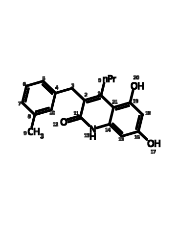 CCCc1c(Cc2cccc(C)c2)c(=O)[nH]c2cc(O)cc(O)c12